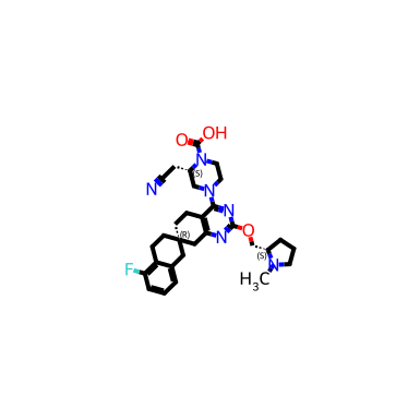 CN1CCC[C@H]1COc1nc2c(c(N3CCN(C(=O)O)[C@@H](CC#N)C3)n1)CC[C@]1(CCc3c(F)cccc3C1)C2